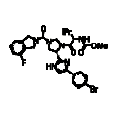 COC(=O)NC(C(=O)N1CN(C(=O)N2Cc3cccc(F)c3C2)C[C@H]1c1nc(-c2ccc(Br)cc2)c[nH]1)C(C)C